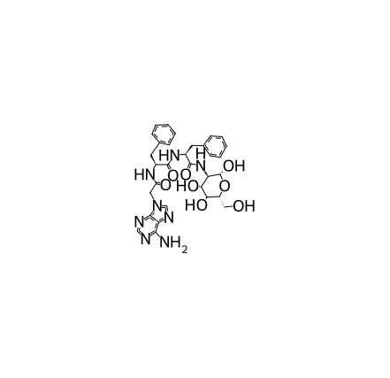 Nc1ncnc2c1ncn2CC(=O)N[C@@H](Cc1ccccc1)C(=O)N[C@@H](Cc1ccccc1)C(=O)N[C@@H]1[C@@H](O)[C@H](O)[C@@H](CO)O[C@H]1O